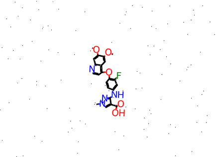 COc1cc2nccc(Oc3ccc(Nc4nn(C)cc4C(=O)O)cc3F)c2cc1OC